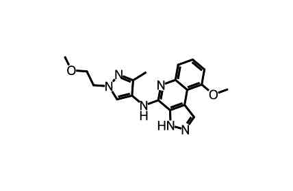 COCCn1cc(Nc2nc3cccc(OC)c3c3cn[nH]c23)c(C)n1